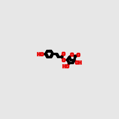 O=C(/C=C/c1ccc(O)cc1)O[C@@H]1C(O)C[C@]2(O)CC1OC2=O